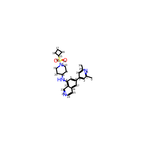 Cc1cc(-c2cc(NC3CCN(S(=O)(=O)C4CCC4)CC3)c3cnccc3c2)cc(C)n1